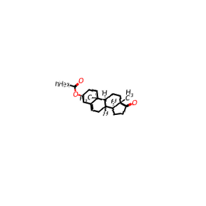 CCCCCCC(=O)O[C@H]1CC[C@@]2(C)C(=CC[C@@H]3[C@@H]2CC[C@]2(C)C(=O)CC[C@@H]32)C1